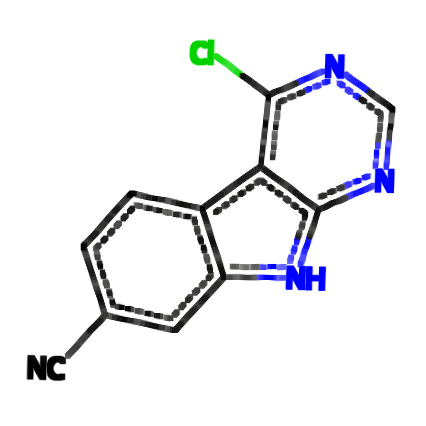 N#Cc1ccc2c(c1)[nH]c1ncnc(Cl)c12